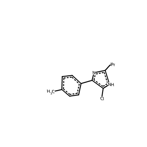 Cc1ccc(-c2nc(C(C)C)[nH]c2Cl)cc1